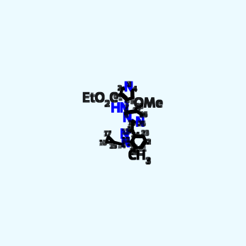 CCOC(=O)c1cnccc1Nc1nc(-c2nn(CC3CC3)c3c(C)cccc23)ncc1OC